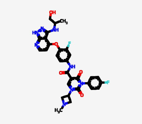 CC(CO)Nc1n[nH]c2nccc(Oc3ccc(NC(=O)c4cn(C5CN(C)C5)c(=O)n(-c5ccc(F)cc5)c4=O)cc3F)c12